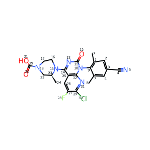 Cc1cc(C#N)cc(C)c1-n1c(=O)nc(N2CCN(C(=O)O)C[C@@H]2C)c2cc(F)c(Cl)nc21